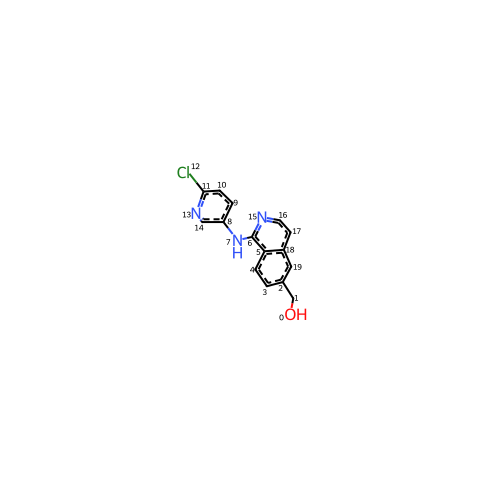 OCc1ccc2c(Nc3ccc(Cl)nc3)nccc2c1